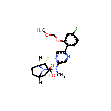 COCOc1cc(Cl)ccc1-c1cnc(N(C)[C@@H]2C[C@H]3CC[C@@H]([C@@H]2F)N3C(=O)O)cn1